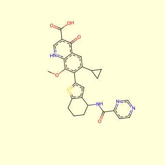 COc1c(-c2cc3c(s2)CCCC3NC(=O)c2ccncn2)c(C2CC2)cc2c(=O)c(C(=O)O)c[nH]c12